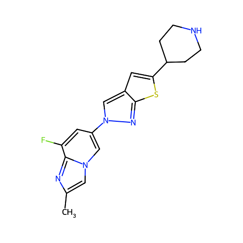 Cc1cn2cc(-n3cc4cc(C5CCNCC5)sc4n3)cc(F)c2n1